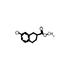 COC(=O)C1CCc2ccc(Cl)cc2C1